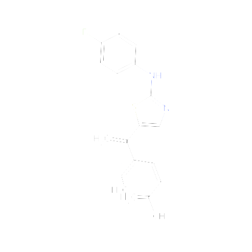 C=C(C)/C=C\C(=C/C)C(=C)c1cnc(Nc2ccc(F)cc2)s1